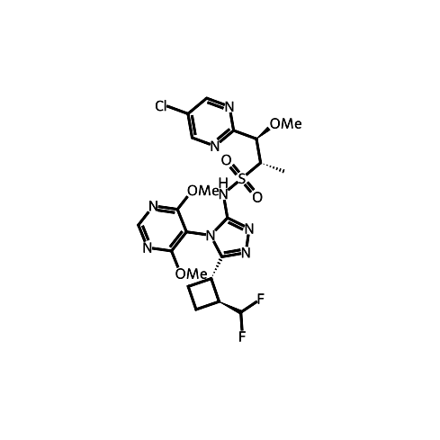 COc1ncnc(OC)c1-n1c(NS(=O)(=O)[C@@H](C)[C@H](OC)c2ncc(Cl)cn2)nnc1[C@H]1CC[C@@H]1C(F)F